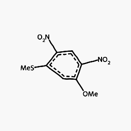 COc1cc(SC)c([N+](=O)[O-])cc1[N+](=O)[O-]